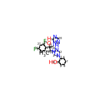 C[C@@H](N1CN(c2ccccc2O)CN1)[C@](O)(Cn1cncn1)c1ccc(F)cc1F